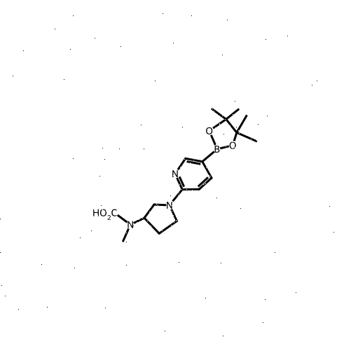 CN(C(=O)O)C1CCN(c2ccc(B3OC(C)(C)C(C)(C)O3)cn2)C1